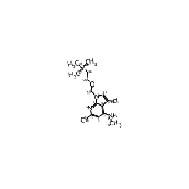 CNc1cc(Cl)nc2c1c(Cl)cn2COCC[Si](C)(C)C